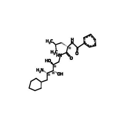 CC(C)C[C@H](NC(=O)c1ccccc1)C(=O)NC[C@H](O)[C@H](O)[C@@H](N)CC1CCCCC1